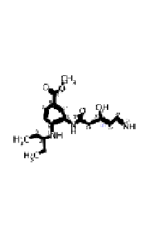 CCC(CC)Nc1ccc(C(=O)OC)cc1NC(=O)C/C(O)=C/C=N